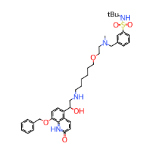 CN(CCOCCCCCCNC[C@@H](O)c1ccc(OCc2ccccc2)c2[nH]c(=O)ccc12)Cc1cccc(S(=O)(=O)NC(C)(C)C)c1